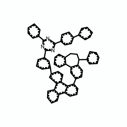 c1ccc(-c2ccc(-c3nc(-c4ccccc4)nc(-c4cccc(-c5ccc6c(c5)c5ccccc5c5cccc(-c7ccc8c(c7)-c7ccccc7CCC8c7ccccc7)c56)c4)n3)cc2)cc1